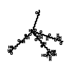 CCC(=O)CCCCCCCCCCC(=O)NC(COCCC(=O)NCCCNC(=O)CCCCOC(OC(CO)[C@H](C)O)[C@H](CO)NC(C)=O)(COCCC(=O)NCCCNC(=O)CCCCO[C@H](O)CNC(C)=O)COCCC(=O)NCCCNC(=O)CCCCO[C@H](O)CNC(C)=O